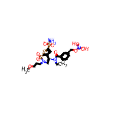 CCN(C(=O)c1cccc(CON(O)O)c1)[C@H]1CN(CCCOC)S(=O)(=O)c2sc(S(N)(=O)=O)cc21